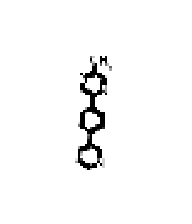 Cc1cnc(-c2ccc(-c3cccnc3)cc2)cn1